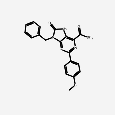 COc1ccc(-c2nc(C(N)=O)c3[nH]c(=O)n(Cc4ccccc4)c3n2)cc1